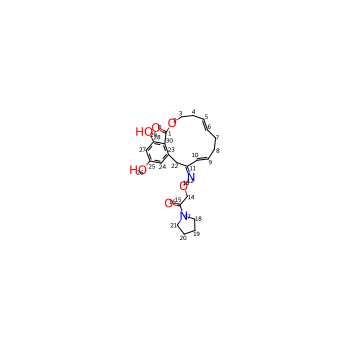 O=C1OCC/C=C/CC/C=C/C(=N/OCC(=O)N2CCCC2)Cc2cc(O)cc(O)c21